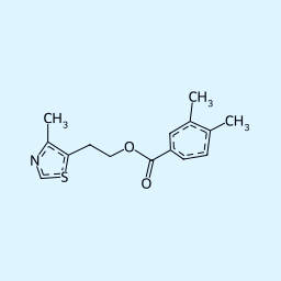 Cc1ccc(C(=O)OCCc2scnc2C)cc1C